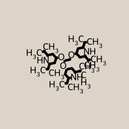 CC(C)C1CC(OCC(OC2CC(C(C)C)NC(C(C)C)C2)OC2CC(C(C)C)NC(C(C)C)C2)CC(C(C)C)N1